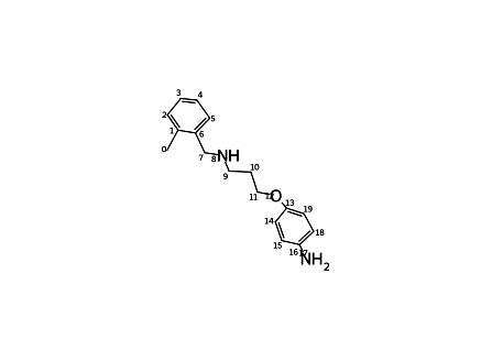 Cc1ccccc1CNCCCOc1ccc(N)cc1